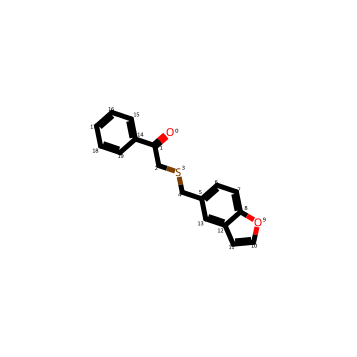 O=C(CSCc1ccc2occc2c1)c1ccccc1